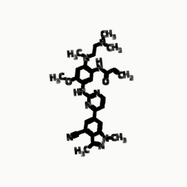 C=CC(=O)Nc1cc(Nc2nccc(-c3cc(C#N)c4c(C)nn(C)c4c3)n2)c(OC)cc1N(C)CCN(C)C